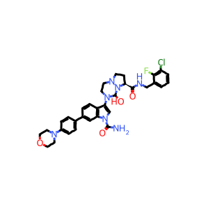 NC(=O)n1cc(N2CCN3CC[C@@H](C(=O)NCc4cccc(Cl)c4F)N3C2O)c2ccc(-c3ccc(N4CCOCC4)cc3)cc21